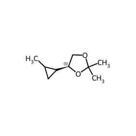 CC1CC1[C@H]1COC(C)(C)O1